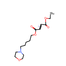 CC(C)(C)COC(=O)/C=C/C(=O)OCCCCCN1CCOCC1